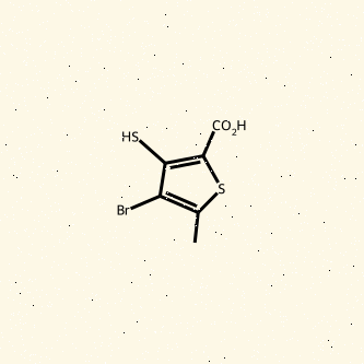 Cc1sc(C(=O)O)c(S)c1Br